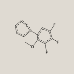 COc1c(-c2ccccc2)cc(F)c(F)c1F